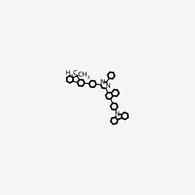 CC1(C)c2ccccc2-c2ccc(-c3ccc(-c4cc(-c5ccc(-c6ccc(-n7c8ccccc8c8ccccc87)cc6)c6ccccc56)nc(-c5ccccc5)n4)cc3)cc21